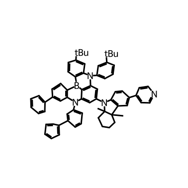 CC(C)(C)c1cccc(N2c3cc(C(C)(C)C)ccc3B3c4ccc(-c5ccccc5)cc4N(c4cccc(-c5ccccc5)c4)c4cc(N5c6ccc(-c7ccncc7)cc6C6(C)CCCCC56C)cc2c43)c1